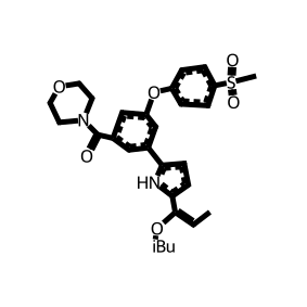 C/C=C(/OC(C)CC)c1ccc(-c2cc(Oc3ccc(S(C)(=O)=O)cc3)cc(C(=O)N3CCOCC3)c2)[nH]1